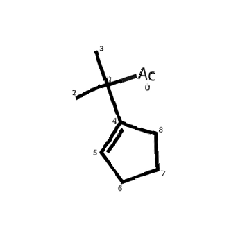 CC(=O)C(C)(C)C1=CCCC1